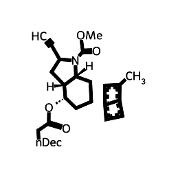 C#CC1C[C@H]2[C@@H](OC(=O)CCCCCCCCCCC)CCC[C@H]2N1C(=O)OC.Cc1cc2ccc1-2